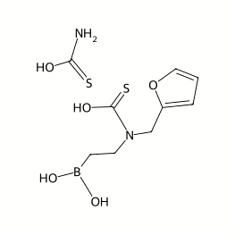 NC(O)=S.OB(O)CCN(Cc1ccco1)C(O)=S